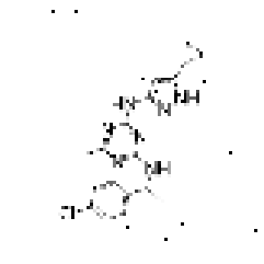 Cc1nc(Nc2cc(C3CC3)[nH]n2)nc(NC(C)c2ccc(Cl)cc2)n1